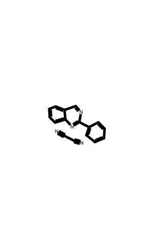 N#CC#N.c1ccc(-c2ncc3ccccc3n2)cc1